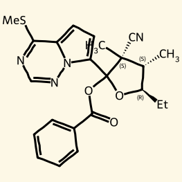 CC[C@H]1OC(OC(=O)c2ccccc2)(c2ccc3c(SC)ncnn23)[C@](C)(C#N)[C@@H]1C